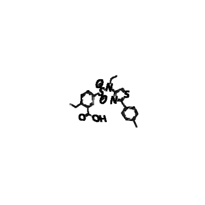 CCc1ccc(S(=O)(=O)N(CC)c2csc(-c3ccc(C)cc3)n2)cc1C(=O)O